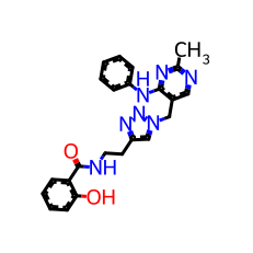 Cc1ncc(Cn2cc(CCNC(=O)c3ccccc3O)nn2)c(Nc2ccccc2)n1